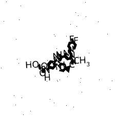 CN(C)c1cc(-c2cn(-c3ccc(NS(=O)(=O)CCO)cc3N3CCC4(CC3)CC4)nn2)nc(N2CCC(F)(F)CC2)n1